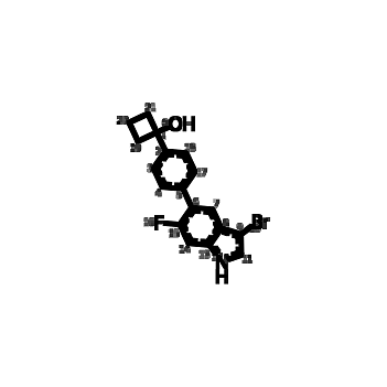 OC1(c2ccc(-c3cc4c(Br)c[nH]c4cc3F)cc2)CCC1